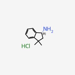 CC1(C)C[C@@H](N)c2ccccc21.Cl